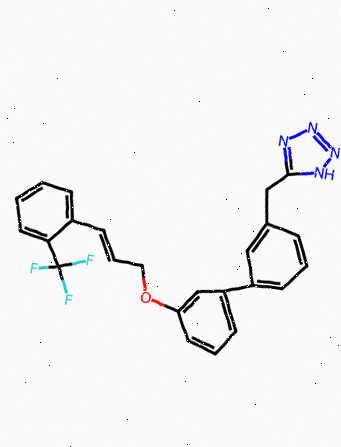 FC(F)(F)c1ccccc1/C=C/COc1cccc(-c2cccc(Cc3nnn[nH]3)c2)c1